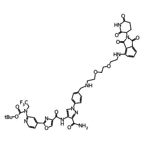 CC(C)(C)OC(=O)N(CC(F)(F)F)c1cc(-c2nc(C(=O)Nc3cn(-c4ccc(CNCCOCCOCCNc5cccc6c5C(=O)N(C5CCC(=O)NC5=O)C6=O)cc4)nc3C(N)=O)co2)ccn1